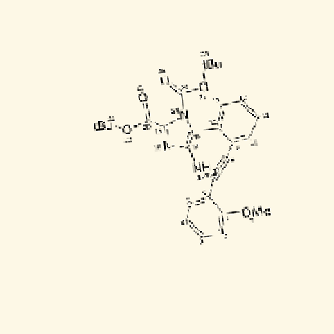 COc1ccccc1C#Cc1ccccc1-c1c(N)nc(C(=O)OC(C)(C)C)n1C(=O)OC(C)(C)C